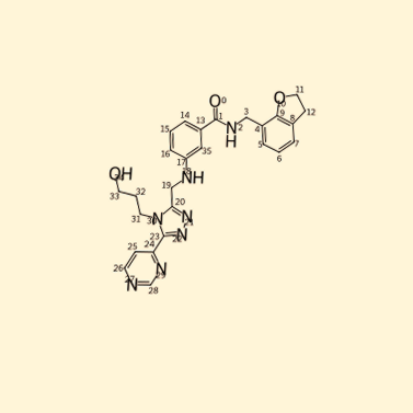 O=C(NCc1cccc2c1OCC2)c1cccc(NCc2nnc(-c3ccncn3)n2CCCO)c1